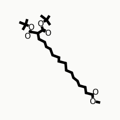 COC(=O)CCCCCCCCCCCCCCCC(C(=O)OC(C)(C)C)C(=O)OC(C)(C)C